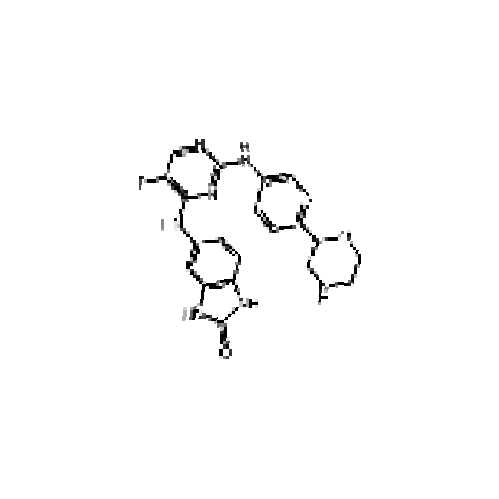 O=c1[nH]c2ccc(Nc3nc(Nc4ccc(C5CNCCO5)nc4)ncc3F)cc2[nH]1